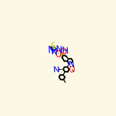 COc1cc(-c2cccc(C)c2)c(C#N)cc1-c1nccc2cc(S(=O)(=O)Nc3nncs3)ccc12